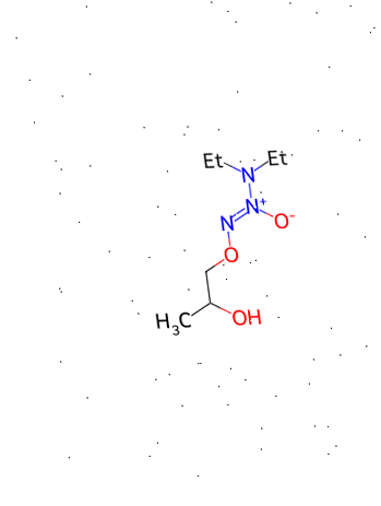 CCN(CC)[N+]([O-])=NOCC(C)O